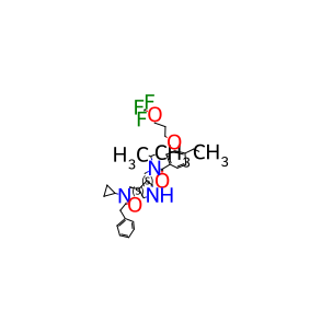 CCc1ccc(C(=O)N(C[C@@H]2CNC[C@H]2CN(C(=O)Cc2ccccc2)C2CC2)C(C)C)cc1OCCCOC(F)(F)F